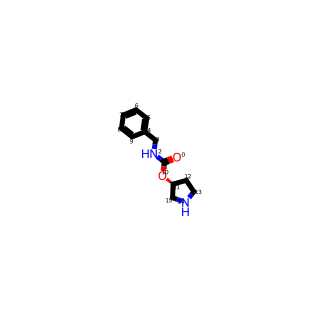 O=C(NCc1ccccc1)O[C@H]1CCNC1